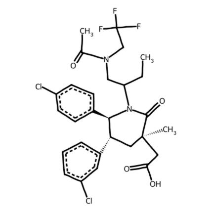 CCC(CN(CC(F)(F)F)C(C)=O)N1C(=O)[C@@](C)(CC(=O)O)C[C@H](c2cccc(Cl)c2)[C@H]1c1ccc(Cl)cc1